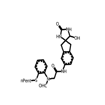 CCCCCSc1ccccc1N(C=O)CC(=O)Nc1ccc2c(c1)CC1(C2)NC(=O)NC1O